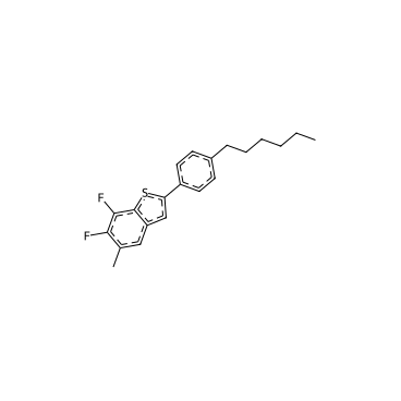 CCCCCCc1ccc(-c2cc3cc(C)c(F)c(F)c3s2)cc1